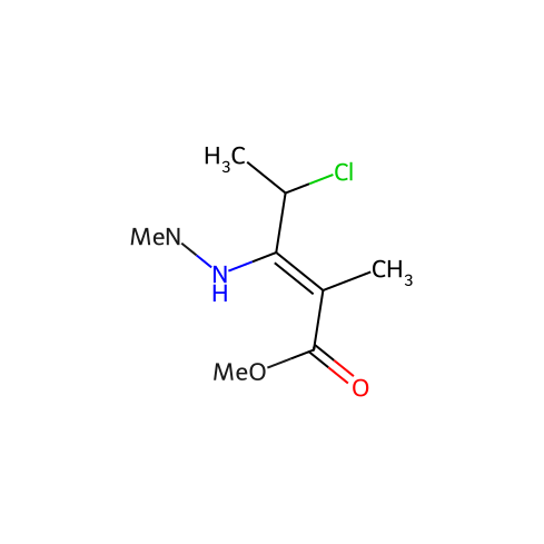 CNN/C(=C(/C)C(=O)OC)C(C)Cl